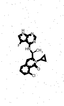 C[C@H](Nc1ncnc2[nH]cc(F)c12)c1cc2cccc(Cl)c2c(=O)n1C1CC1